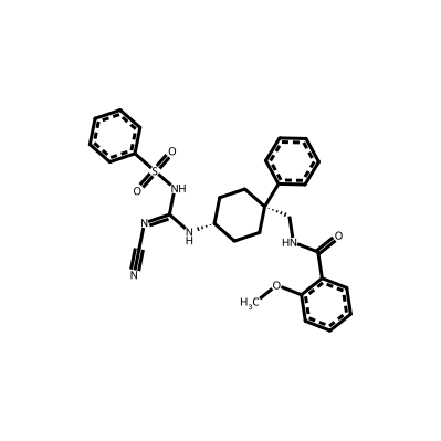 COc1ccccc1C(=O)NC[C@]1(c2ccccc2)CC[C@H](N/C(=N\C#N)NS(=O)(=O)c2ccccc2)CC1